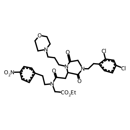 CCOC(=O)CN(CCc1ccc([N+](=O)[O-])cc1)C(=O)CC1C(=O)N(CCc2ccc(Cl)cc2Cl)CC(=O)N1CCCN1CCOCC1